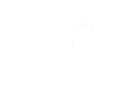 CC(C)CCCCCCCOC(=O)c1ccccc1C(=O)OCCCCCCCC(C)C.CCOC(=O)c1cccc(C(=O)OCC)c1